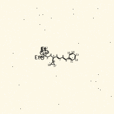 CCO[Si](CCC(C=CC=Cc1ccccc1)=C1CC1)(OCC)OCC